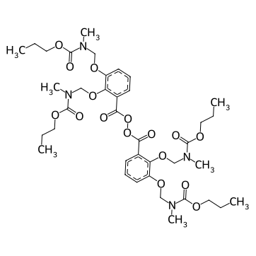 CCCOC(=O)N(C)COc1cccc(C(=O)OOC(=O)c2cccc(OCN(C)C(=O)OCCC)c2OCN(C)C(=O)OCCC)c1OCN(C)C(=O)OCCC